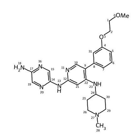 COCCOc1cccc(-c2cnc(Nc3cnc(N)cn3)cc2NC2CCN(C)CC2)c1